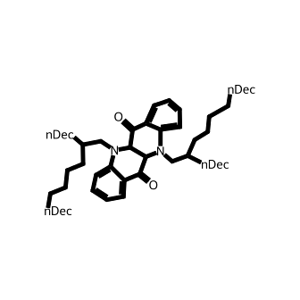 CCCCCCCCCCCCCCC(CCCCCCCCCC)CN1c2ccccc2C(=O)C2C1C(=O)c1ccccc1N2CC(CCCCCCCCCC)CCCCCCCCCCCCCC